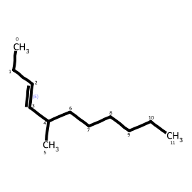 CC/C=C/C(C)CCCCCC